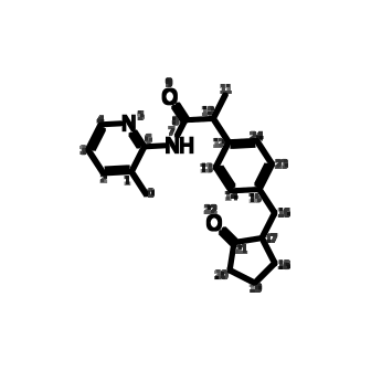 Cc1cccnc1NC(=O)C(C)c1ccc(CC2CCCC2=O)cc1